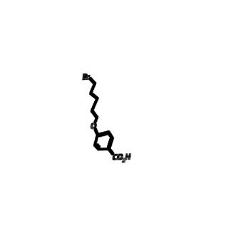 O=C(O)c1ccc(OCCCCCBr)cc1